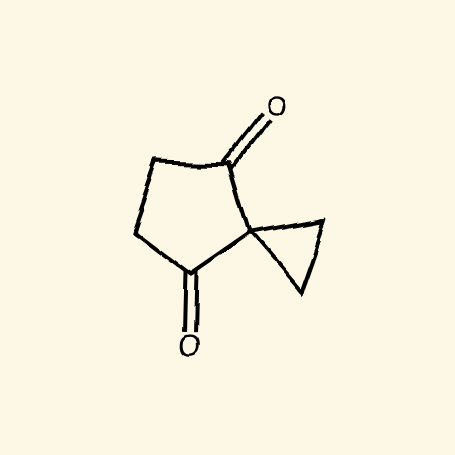 O=C1CCC(=O)C12CC2